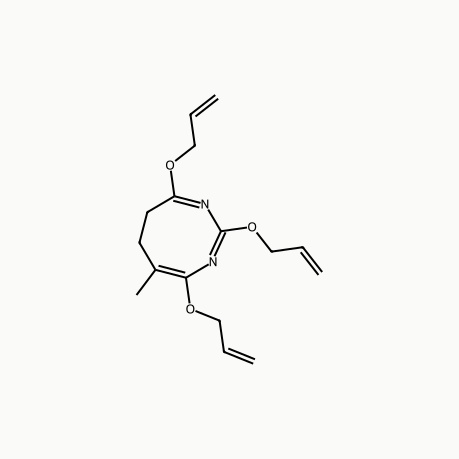 C=CCO/C1=N/C(OCC=C)=N\C(OCC=C)=C(\C)CC1